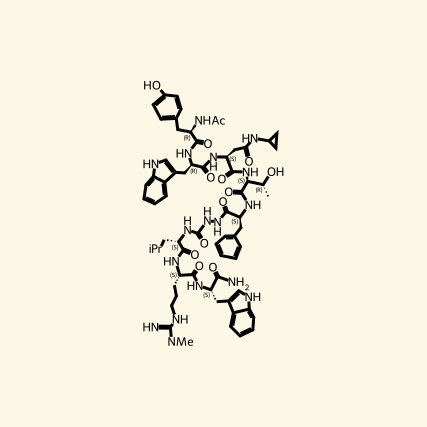 CNC(=N)NCCC[C@H](NC(=O)[C@H](CC(C)C)NC(=O)NNC(=O)[C@H](Cc1ccccc1)NC(=O)[C@@H](NC(=O)[C@H](CC(=O)NC1CC1)NC(=O)[C@@H](Cc1c[nH]c2ccccc12)NC(=O)[C@@H](Cc1ccc(O)cc1)NC(C)=O)[C@@H](C)O)C(=O)N[C@@H](Cc1c[nH]c2ccccc12)C(N)=O